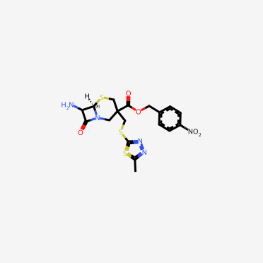 Cc1nnc(SCC2(C(=O)OCc3ccc([N+](=O)[O-])cc3)CS[C@@H]3C(N)C(=O)N3C2)s1